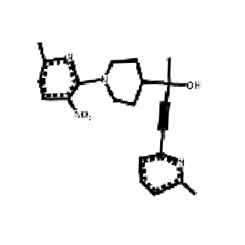 Cc1cccc(C#CC(C)(O)C2CCN(c3nc(C)ccc3[N+](=O)[O-])CC2)n1